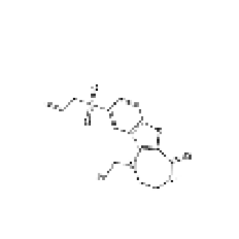 C=CCS(=O)(=O)c1ccc2sc3c(c2c1)N(CC(C)C)CCNC3=O